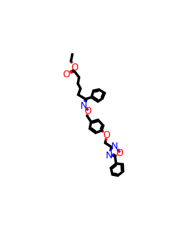 CCOC(=O)CCCCC(=NOCc1ccc(OCc2noc(-c3ccccc3)n2)cc1)c1ccccc1